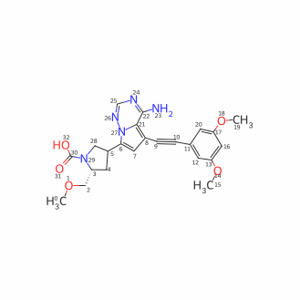 COC[C@H]1CC(c2cc(C#Cc3cc(OC)cc(OC)c3)c3c(N)ncnn23)CN1C(=O)O